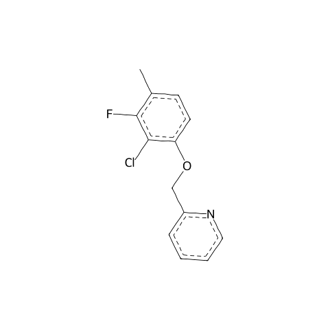 Cc1ccc(OCc2ccccn2)c(Cl)c1F